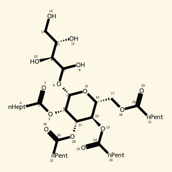 CCCCCCCC(=O)O[C@@H]1[C@H](OC(O)[C@@H](O)[C@@H](O)CO)O[C@H](COC(=O)CCCCC)[C@@H](OC(=O)CCCCC)[C@@H]1OC(=O)CCCCC